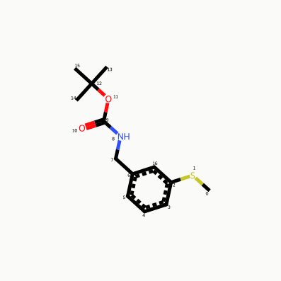 CSc1cccc(CNC(=O)OC(C)(C)C)c1